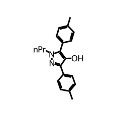 CCCn1nc(-c2ccc(C)cc2)c(O)c1-c1ccc(C)cc1